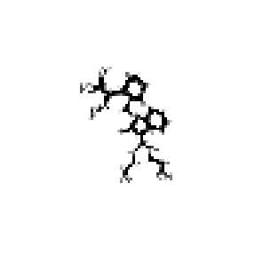 CON=C(C(=O)O)c1ccccc1Cn1c(C)c(C(SCCO)SCCO)c2ccccc21